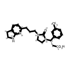 O=C(O)C[C@@H](c1cccc(C(F)(F)F)c1)N1CCN(CCCc2ccc3c(n2)NCC3)C1=O